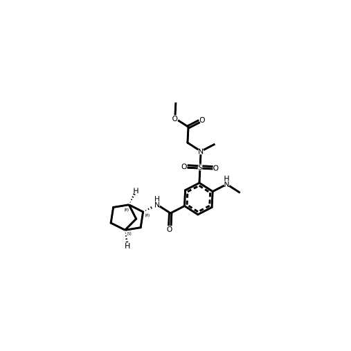 CNc1ccc(C(=O)N[C@@H]2C[C@H]3CC[C@@H]2C3)cc1S(=O)(=O)N(C)CC(=O)OC